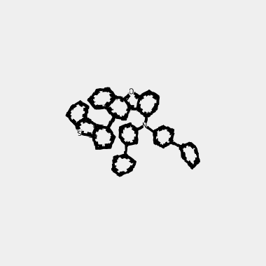 c1ccc(-c2ccc(N(c3cccc(-c4ccccc4)c3)c3cccc4oc5c6ccccc6c(-c6cccc7sc8ccccc8c67)cc5c34)cc2)cc1